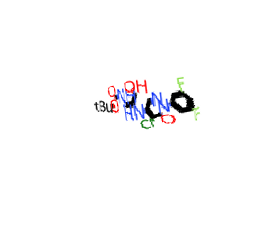 CC(C)(C)OC(=O)NCC(CO)Nc1cnn(-c2cc(F)cc(F)c2)c(=O)c1Cl